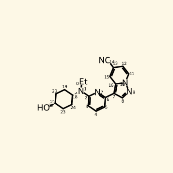 CCN(c1cccc(-c2cnn3ccc(C#N)cc23)n1)[C@H]1CC[C@H](O)CC1